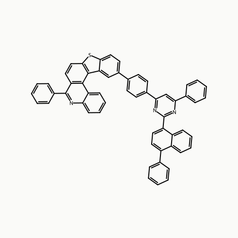 c1ccc(-c2cc(-c3ccc(-c4ccc5sc6ccc7c(-c8ccccc8)nc8ccccc8c7c6c5c4)cc3)nc(-c3ccc(-c4ccccc4)c4ccccc34)n2)cc1